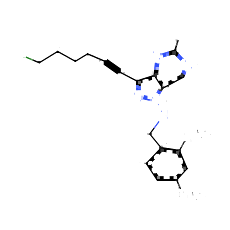 CCCCc1ncc2c(n1)c(C#CCCCCCl)nn2NCc1ccc(OC)cc1OC